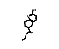 CCOC(=O)C1CCc2nc(O)ccc2C1